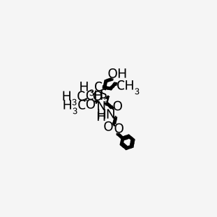 CCCC(C)(CCO)SC[C@H](NC(=O)OC(C)(C)C)C(=O)NCC(=O)OCc1ccccc1